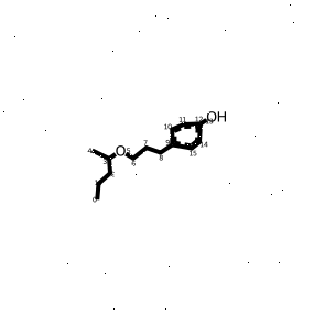 CCCC(C)OCCCc1ccc(O)cc1